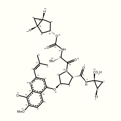 CC[C@@H]1C[C@]1(NC(=O)[C@@H]1C[C@@H](Oc2cc(C=C(C)C)nc3c(Cl)c(OC)ccc23)CN1C(=O)[C@@H](NC(=O)O[C@@H]1C[C@@H]2C[C@@H]2C1)C(C)(C)C)C(=O)O